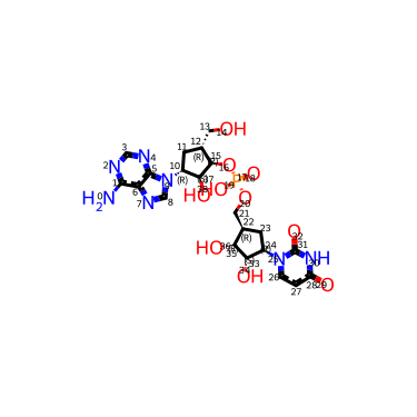 Nc1ncnc2c1ncn2[C@@H]1C[C@H](CO)[C@@H](OP(=O)(O)OC[C@H]2C[C@@H](n3ccc(=O)[nH]c3=O)[C@H](O)[C@@H]2O)[C@H]1O